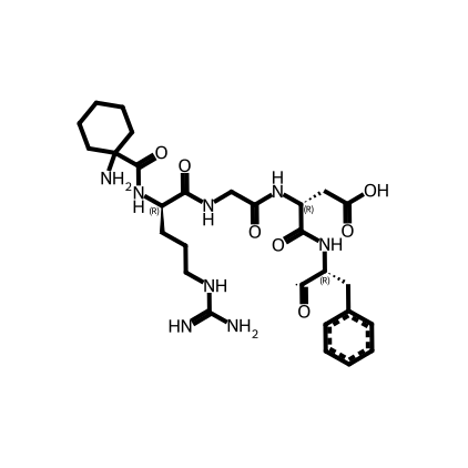 N=C(N)NCCC[C@@H](NC(=O)C1(N)CCCCC1)C(=O)NCC(=O)N[C@H](CC(=O)O)C(=O)N[C@@H]([C]=O)Cc1ccccc1